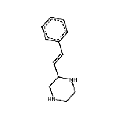 C(=CC1CNCCN1)c1ccccc1